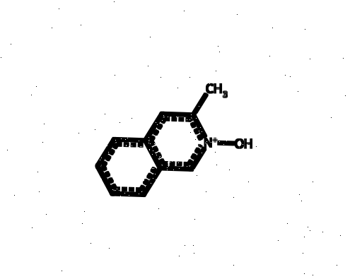 Cc1cc2ccccc2c[n+]1O